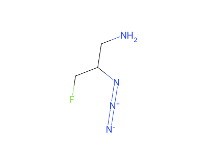 [N-]=[N+]=NC(CN)CF